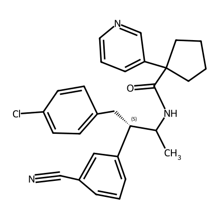 CC(NC(=O)C1(c2cccnc2)CCCC1)[C@@H](Cc1ccc(Cl)cc1)c1cccc(C#N)c1